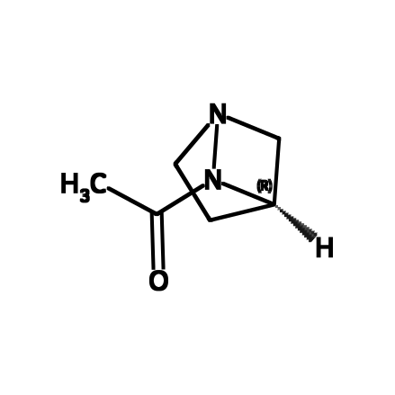 CC(=O)N1[C@@H]2CCN1C2